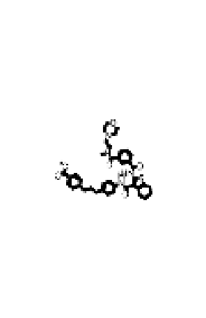 COC(=O)c1ccc(CCCc2ccc(NC(=O)c3c(NC(=O)c4cccc(C(=O)N(C)CCN5CCOCC5)c4)sc4c3CCCC4)cc2)cc1